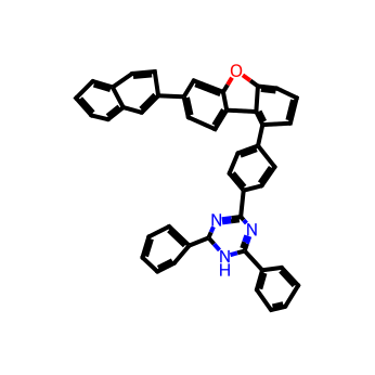 c1ccc(C2=NC(c3ccc(-c4cccc5oc6cc(-c7ccc8ccccc8c7)ccc6c45)cc3)=NC(c3ccccc3)N2)cc1